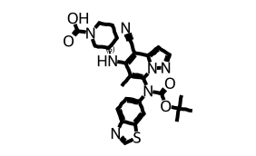 Cc1c(N[C@H]2CCCN(C(=O)O)C2)c(C#N)c2ccnn2c1N(C(=O)OC(C)(C)C)c1ccc2ncsc2c1